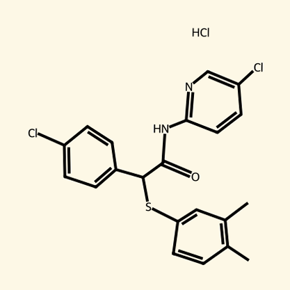 Cc1ccc(SC(C(=O)Nc2ccc(Cl)cn2)c2ccc(Cl)cc2)cc1C.Cl